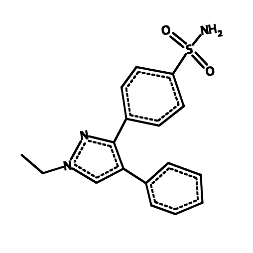 CCn1cc(-c2ccccc2)c(-c2ccc(S(N)(=O)=O)cc2)n1